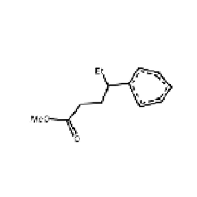 CCC(CCC(=O)OC)c1ccccc1